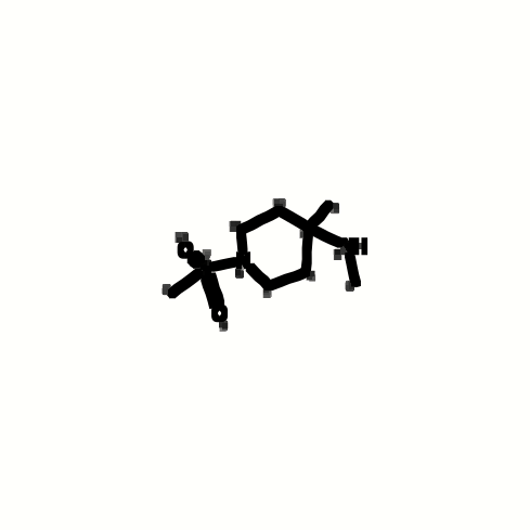 CNC1(C)CCN(S(C)(=O)=O)CC1